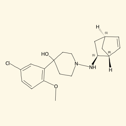 COc1ccc(Cl)cc1C1(O)CCN(N[C@H]2C[C@H]3C=C[C@H]2C3)CC1